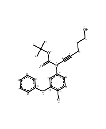 CC(C)(C)OC(=O)N(C#CCCCO)c1ccc(Cl)c(Oc2ccccc2)c1